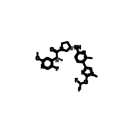 COc1cc([C@@H](C)C(=O)N2CC[C@H](Nc3ccc(-c4cn(C)c(OC(F)F)n4)c(C)n3)C2)c(F)cn1